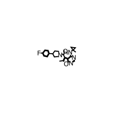 Cc1oc2ncnc(NC3(C)CC3)c2c1C(=O)N1CCC(c2ccc(F)cc2)CC1